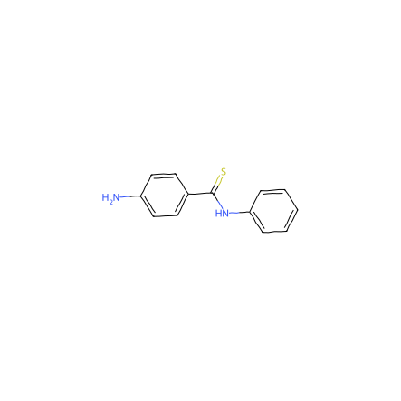 Nc1ccc(C(=S)Nc2ccccc2)cc1